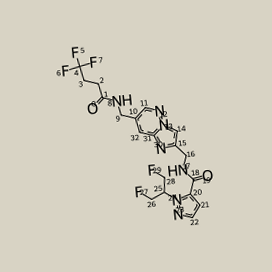 O=C(CCC(F)(F)F)NCc1cnn2cc(CNC(=O)c3ccnn3C(CF)CF)nc2c1